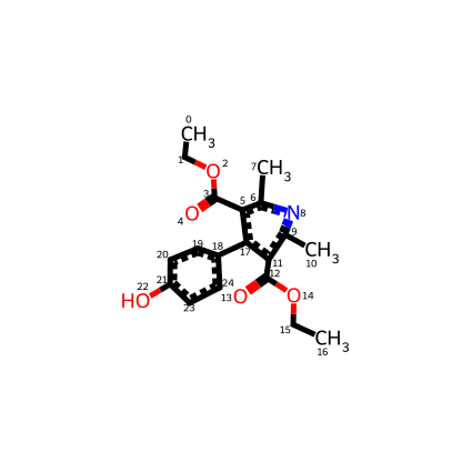 CCOC(=O)c1c(C)nc(C)c(C(=O)OCC)c1-c1ccc(O)cc1